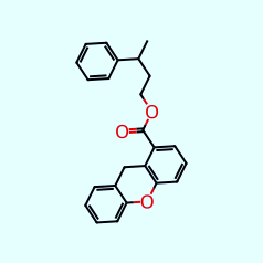 CC(CCOC(=O)c1cccc2c1Cc1ccccc1O2)c1ccccc1